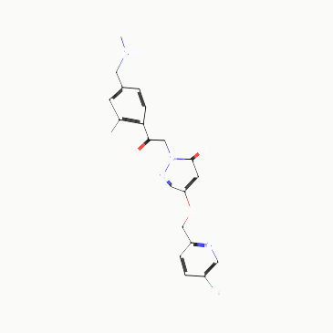 CNCc1ccc(C(=O)Cn2ncc(OCc3ccc(Br)cn3)cc2=O)c(C)c1